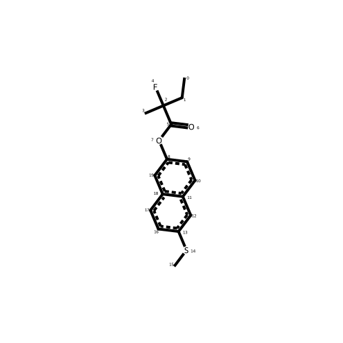 CCC(C)(F)C(=O)Oc1ccc2cc(SC)ccc2c1